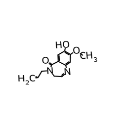 C=CCN1CC=Nc2cc(OC)c(O)cc2C1=O